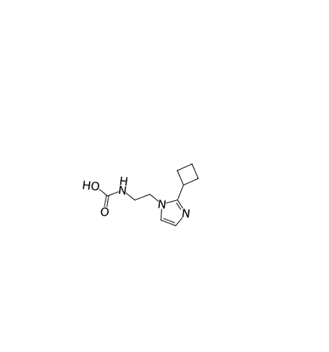 O=C(O)NCCn1ccnc1C1CCC1